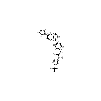 CC(C)(C)c1cc(NC(=O)Cc2ccc(-n3cnc4cc(N5C=COC5)ccc43)cc2)on1